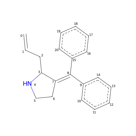 C=CCC1NCCC1=C(c1ccccc1)c1ccccc1